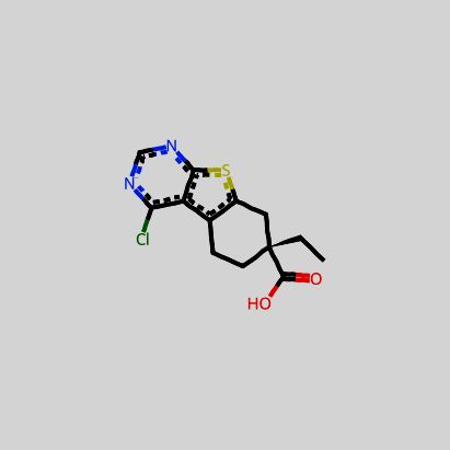 CC[C@@]1(C(=O)O)CCc2c(sc3ncnc(Cl)c23)C1